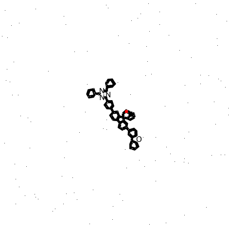 c1ccc(-c2nc(-c3ccccc3)nc(-c3ccc(-c4ccc5c(c4)C4(c6cc(-c7ccc8oc9ccccc9c8c7)ccc6-5)C5CC6CC(C5)CC4C6)cc3)n2)cc1